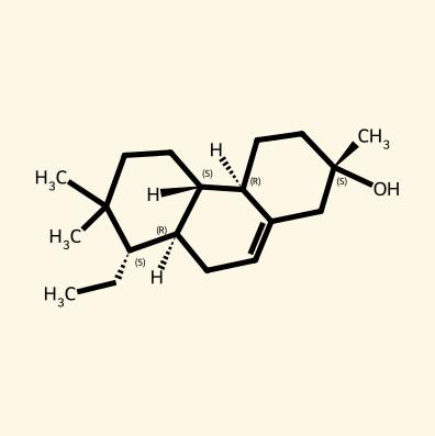 CC[C@H]1[C@@H]2CC=C3C[C@@](C)(O)CC[C@@H]3[C@H]2CCC1(C)C